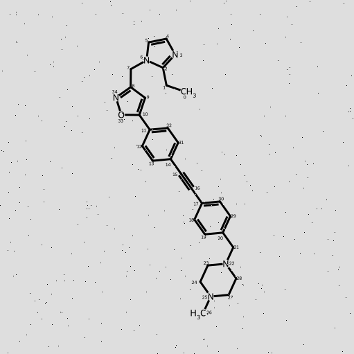 CCc1nccn1Cc1cc(-c2ccc(C#Cc3ccc(CN4CCN(C)CC4)cc3)cc2)on1